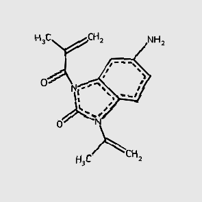 C=C(C)C(=O)n1c(=O)n(C(=C)C)c2ccc(N)cc21